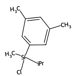 Cc1cc(C)cc([Si](C)(Cl)C(C)C)c1